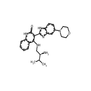 CC(C)[C@H](N)CNc1c(-c2nc3cc(N4CCOCC4)ccc3[nH]2)c(=O)[nH]c2ccccc12